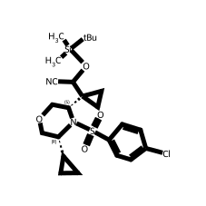 CC(C)(C)[Si](C)(C)OC(C#N)C1([C@H]2COC[C@@H](C3CC3)N2S(=O)(=O)c2ccc(Cl)cc2)CC1